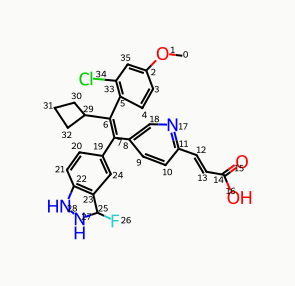 COc1ccc(/C(=C(\c2ccc(/C=C/C(=O)O)nc2)c2ccc3c(c2)C(F)NN3)C2CCC2)c(Cl)c1